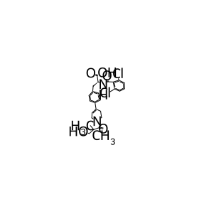 CC(C)(CO)C(=O)N1CC=C(c2ccc(C[C@H](NC(=O)c3c(Cl)cccc3Cl)C(=O)O)cc2)CC1